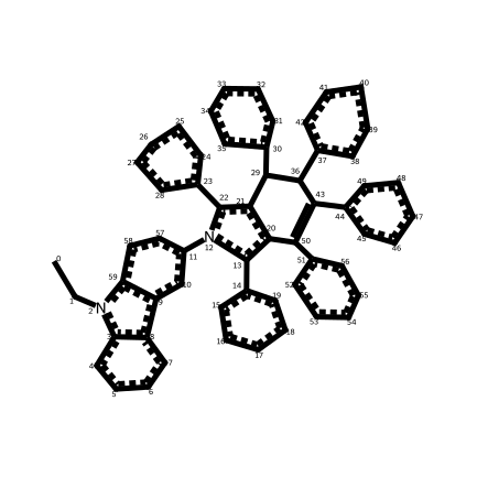 CCn1c2ccccc2c2cc(-n3c(-c4ccccc4)c4c(c3-c3ccccc3)C(c3ccccc3)C(c3ccccc3)C(c3ccccc3)=C4c3ccccc3)ccc21